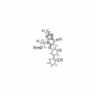 CCCc1c(Cc2ccc(-c3ccccc3C#N)cc2F)c(=O)n(C(C)COC)c2nc(C)nn12